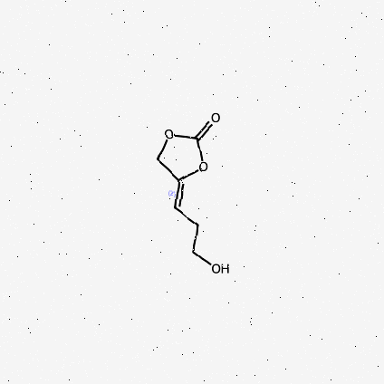 O=C1OC/C(=C/CCO)O1